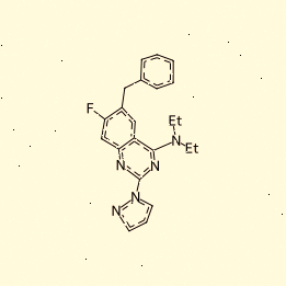 CCN(CC)c1nc(-n2cccn2)nc2cc(F)c(Cc3ccccc3)cc12